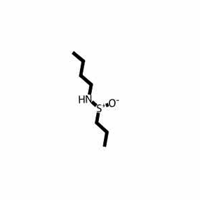 CCCCN[S+]([O-])CCC